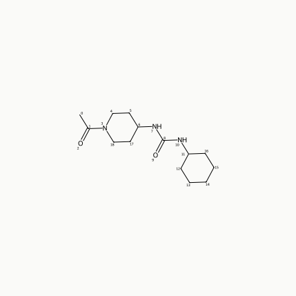 CC(=O)N1CCC(NC(=O)NC2CCCCC2)CC1